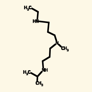 CCNCCCN(C)CCCNC(C)C